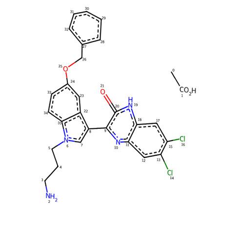 CC(=O)O.NCCCn1cc(-c2nc3cc(Cl)c(Cl)cc3[nH]c2=O)c2cc(OCc3ccccc3)ccc21